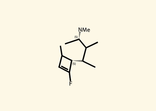 CN[C@@H](C)C(C)C(C)[C@@H]1C(F)=CC1C